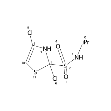 CC(C)NS(=O)(=O)C1(Cl)NC(Cl)=CS1